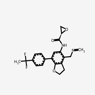 C=NCc1c(NC(=O)[C@H]2CO2)cc(-c2ccc(C(C)(F)F)cc2)c2c1CCO2